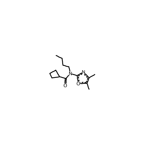 CCCCN(C(=O)C1CCC1)c1nc(C)c(C)o1